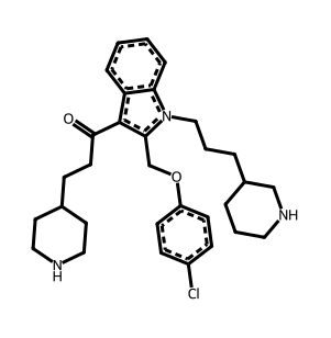 O=C(CCC1CCNCC1)c1c(COc2ccc(Cl)cc2)n(CCCC2CCCNC2)c2ccccc12